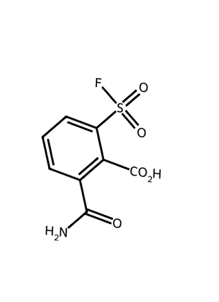 NC(=O)c1cccc(S(=O)(=O)F)c1C(=O)O